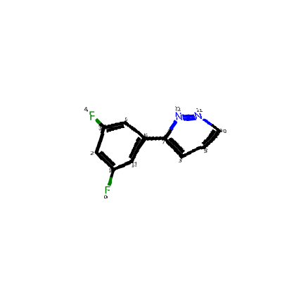 Fc1cc(F)cc(-c2cc[c]nn2)c1